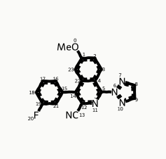 COc1ccc2c(-n3nccn3)nc(C#N)c(-c3cccc(F)c3)c2c1